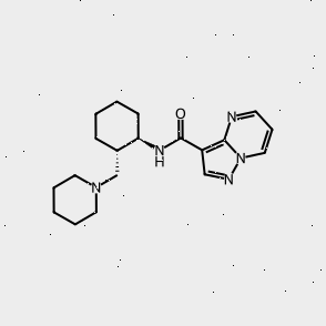 O=C(N[C@@H]1CCCC[C@H]1CN1CCCCC1)c1cnn2cccnc12